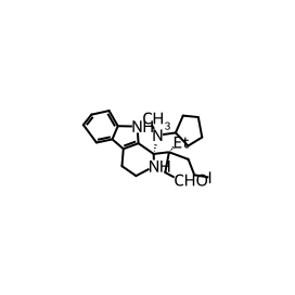 CC[C@@](CC=O)(CCI)[C@@]1(N(C)C2CCCC2)NCCc2c1[nH]c1ccccc21